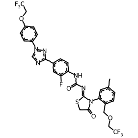 Cc1ccc(COCC(F)(F)F)c(N2C(=O)CSC2=NC(=O)Nc2ccc(-c3ncn(-c4ccc(OCC(F)(F)F)cc4)n3)cc2F)c1